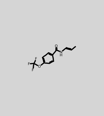 CC=CNC(=O)c1ccc(OC(F)(F)F)cc1